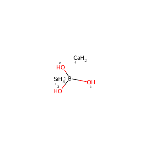 OB(O)O.[CaH2].[SiH4]